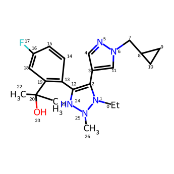 CCN1C(c2cnn(CC3CC3)c2)=C(c2ccc(F)cc2C(C)(C)O)NN1C